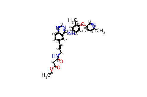 CCOC(=O)CC(=O)NCC#Cc1ccc2ncnc(Nc3ccc(Oc4ccc(C)nc4)c(C)c3)c2c1